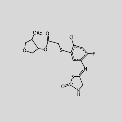 CC(=O)OC1COCC1OC(=O)CSc1cc(N=C2CN[N+](=O)S2)c(F)cc1Cl